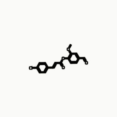 COc1cc(C=O)ccc1OC(=O)/C=C/c1ccc(Cl)cc1